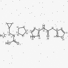 C[C@H](C1CC1)N(C(=O)O)[C@@H]1CC[C@H](c2cc(NC(=O)Cc3ccon3)n[nH]2)C1